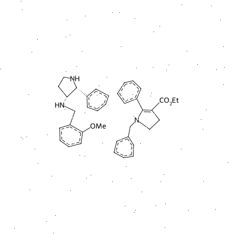 CCOC(=O)C1=C(c2ccccc2)N(Cc2ccccc2)CC1.COc1ccccc1CN[C@@H]1CCN[C@@H]1c1ccccc1